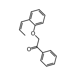 C/C=C\c1ccccc1OCC(=O)c1ccccc1